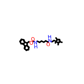 CC1=CC(C)=C(C)C1(C)CCNC(=O)CCCCCNC(=O)OCC1c2ccccc2-c2ccccc21